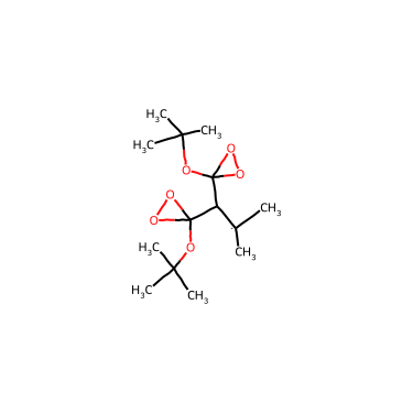 C[C](C)C(C1(OC(C)(C)C)OO1)C1(OC(C)(C)C)OO1